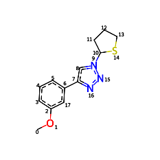 COc1cccc(-c2cn(C3CCCS3)nn2)c1